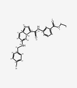 CCOC(=O)c1cccc(NC(=O)c2cnc3ccc(NCc4ccc(F)cc4)nn23)c1